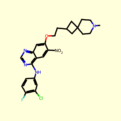 CN1CCC2(CC1)CC(CCOc1cc3ncnc(Nc4ccc(F)c(Cl)c4)c3cc1[N+](=O)[O-])C2